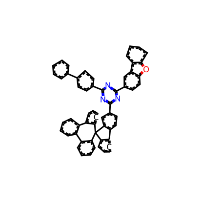 c1ccc(-c2ccc(-c3nc(-c4ccc5c(c4)C4(c6ccccc6-c6ccccc6-c6ccccc64)c4ccccc4-5)nc(-c4ccc5oc6ccccc6c5c4)n3)cc2)cc1